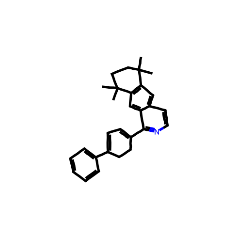 CC1(C)CCC(C)(C)c2cc3c(C4=CC=C(c5ccccc5)CC4)nccc3cc21